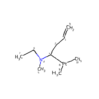 C=CC[CH](N(C)CC)[Pt]([CH3])[CH3]